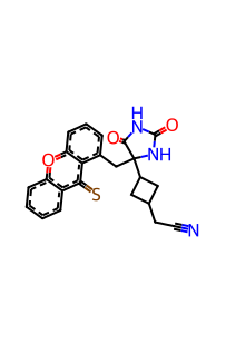 N#CCC1CC(C2(Cc3cccc4oc5ccccc5c(=S)c34)NC(=O)NC2=O)C1